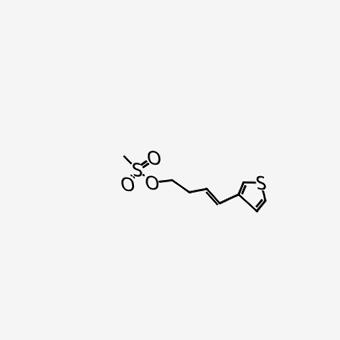 CS(=O)(=O)OCCC=Cc1ccsc1